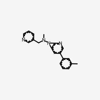 Cc1cccc(-c2cnc3c(c2)N3N(C)Cc2cccnc2)c1